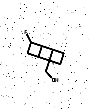 OCC12C3C4C1C1C2C3C41F